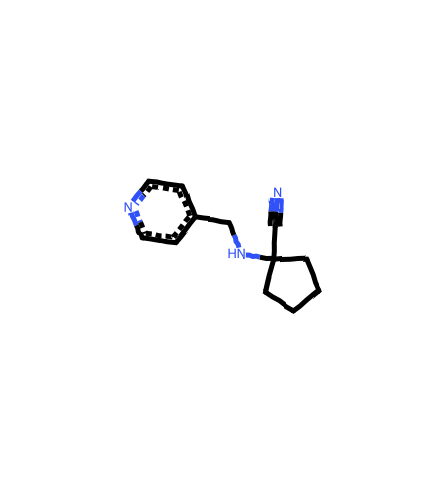 N#CC1(NCc2ccncc2)CCCC1